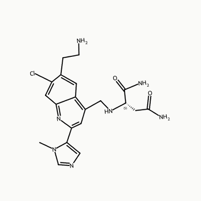 Cn1cncc1-c1cc(CN[C@@H](CC(N)=O)C(N)=O)c2cc(CCN)c(Cl)cc2n1